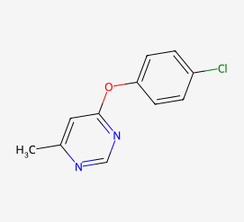 Cc1cc(Oc2ccc(Cl)cc2)ncn1